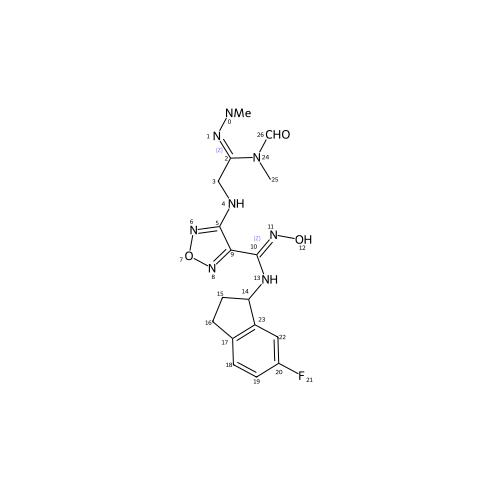 CN/N=C(/CNc1nonc1/C(=N/O)NC1CCc2ccc(F)cc21)N(C)C=O